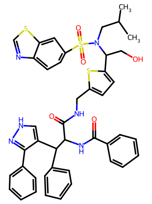 CC(C)CN(C(CO)c1ccc(CNC(=O)C(NC(=O)c2ccccc2)C(c2ccccc2)c2c[nH]nc2-c2ccccc2)s1)S(=O)(=O)c1ccc2ncsc2c1